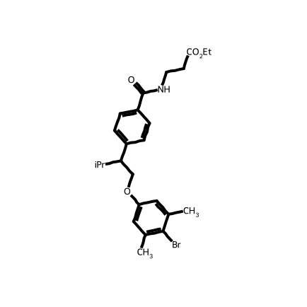 CCOC(=O)CCNC(=O)c1ccc(C(COc2cc(C)c(Br)c(C)c2)C(C)C)cc1